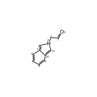 O=CCn1cc2ccccc2c1